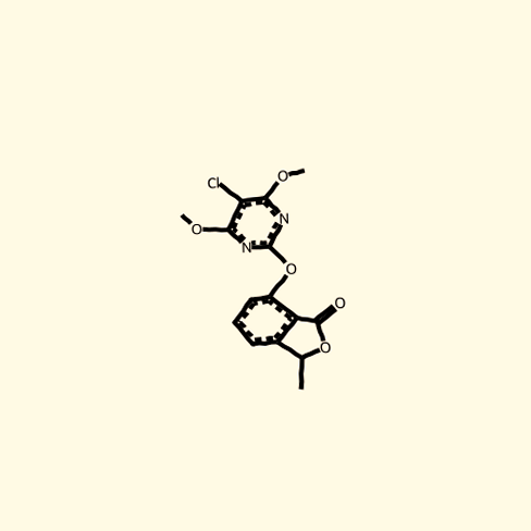 COc1nc(Oc2cccc3c2C(=O)OC3C)nc(OC)c1Cl